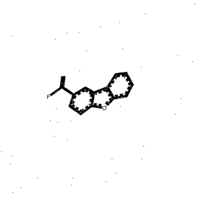 C=C(F)c1ccc2oc3ccccc3c2c1